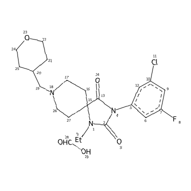 CCN1C(=O)N(c2cc(F)cc(Cl)c2)C(=O)C12CCN(CC1CCOCC1)CC2.O=CO